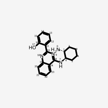 N[C@@H]1CCCC[C@H]1Nc1nc(-c2ccccc2O)nc2ccccc12